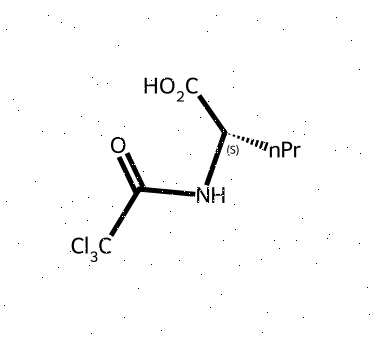 CCC[C@H](NC(=O)C(Cl)(Cl)Cl)C(=O)O